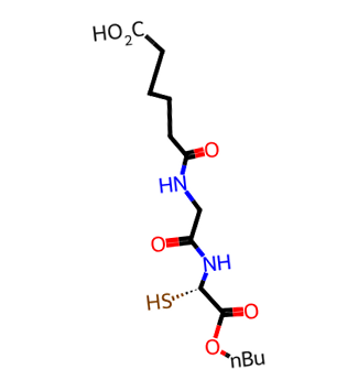 CCCCOC(=O)[C@H](S)NC(=O)CNC(=O)CCCCC(=O)O